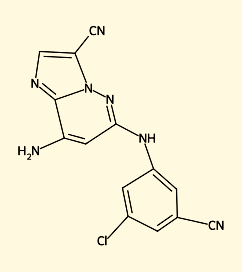 N#Cc1cc(Cl)cc(Nc2cc(N)c3ncc(C#N)n3n2)c1